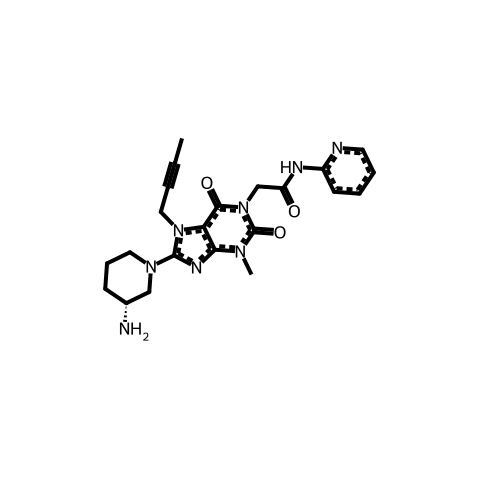 CC#CCn1c(N2CCC[C@@H](N)C2)nc2c1c(=O)n(CC(=O)Nc1ccccn1)c(=O)n2C